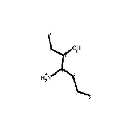 CCCC(N)C(O)CC